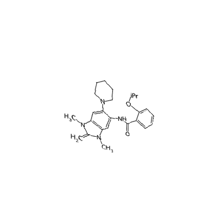 C=C1N(C)c2cc(NC(=O)c3ccccc3OC(C)C)c(N3CCCCC3)cc2N1C